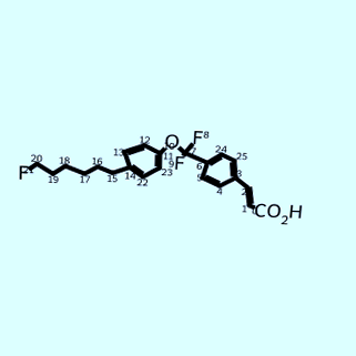 O=C(O)C=Cc1ccc(C(F)(F)Oc2ccc(CCCCCCF)cc2)cc1